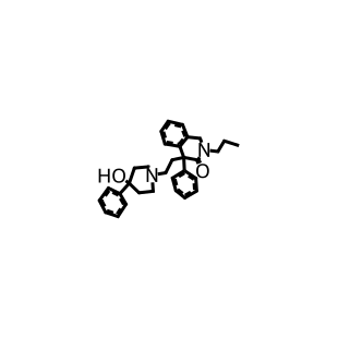 CCCN1Cc2ccccc2C(CCN2CCC(O)(c3ccccc3)CC2)(c2ccccc2)C1=O